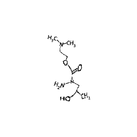 CC(O)CN(N)C(=O)OCCN(C)C